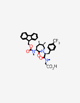 C[C@@H]1C[C@H](N(C)C(=O)OCC2c3ccccc3-c3ccccc32)C(=O)N([C@@H](Cc2ccc(C(F)(F)F)cc2)C(=O)N(C)CC(=O)O)C[C@@H]1C